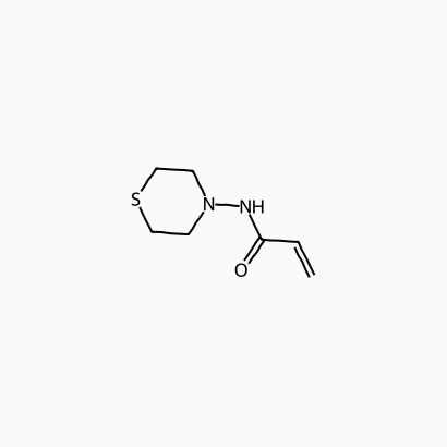 C=CC(=O)NN1CCSCC1